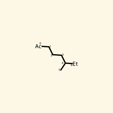 [CH2]C(=O)CCCC(C)CC